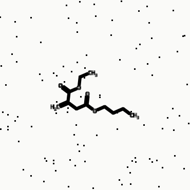 C=C(CC(=O)OCCCC)C(=O)OCC